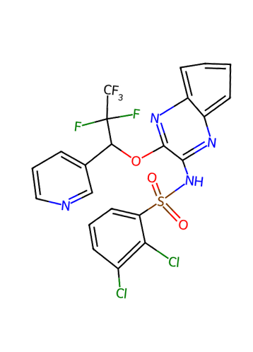 O=S(=O)(Nc1nc2ccccc2nc1OC(c1cccnc1)C(F)(F)C(F)(F)F)c1cccc(Cl)c1Cl